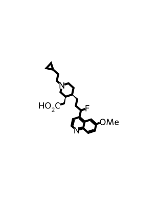 COc1ccc2nccc(C(F)CC[C@@H]3CCN(CCC4CC4)C[C@@H]3CC(=O)O)c2c1